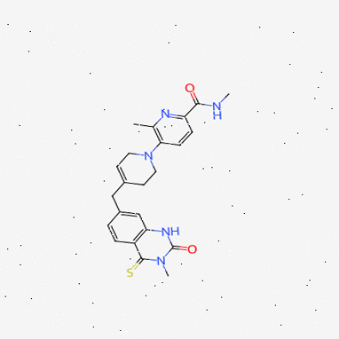 CNC(=O)c1ccc(N2CC=C(Cc3ccc4c(=S)n(C)c(=O)[nH]c4c3)CC2)c(C)n1